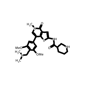 COc1cc(-c2cn(C)c(=O)c3cc(NC(=O)C4CCCNC4)sc23)cc(OC)c1CN(C)C